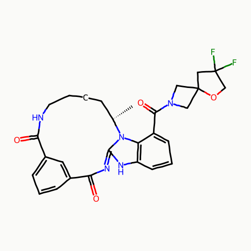 C[C@H]1CCCCNC(=O)c2cccc(c2)C(=O)/N=C2\Nc3cccc(C(=O)N4CC5(C4)CC(F)(F)CO5)c3N21